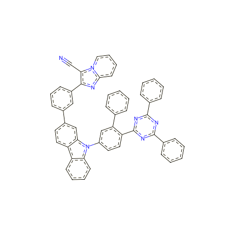 N#Cc1c(-c2cccc(-c3ccc4c5ccccc5n(-c5ccc(-c6nc(-c7ccccc7)nc(-c7ccccc7)n6)c(-c6ccccc6)c5)c4c3)c2)nc2ccccn12